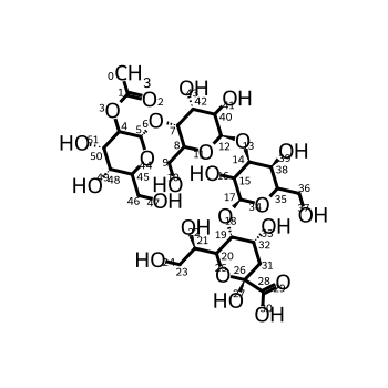 CC(=O)OC1[C@H](O[C@H]2C(CO)O[C@H](O[C@@H]3C(O)[C@H](O[C@H]4C([C@H](O)CO)O[C@@](O)(C(=O)O)C[C@H]4O)OC(CO)[C@@H]3O)C(O)[C@H]2O)OC(CO)[C@H](O)[C@@H]1O